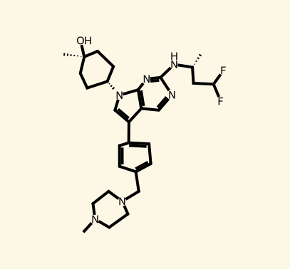 C[C@H](CC(F)F)Nc1ncc2c(-c3ccc(CN4CCN(C)CC4)cc3)cn([C@H]3CC[C@](C)(O)CC3)c2n1